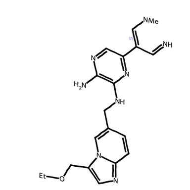 CCOCc1cnc2ccc(CNc3nc(/C(C=N)=C/NC)cnc3N)cn12